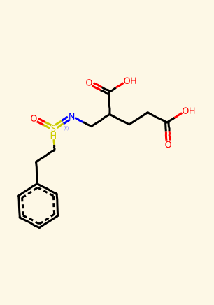 O=C(O)CCC(C/N=[SH](=O)\CCc1ccccc1)C(=O)O